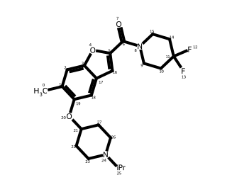 Cc1cc2oc(C(=O)N3CCC(F)(F)CC3)cc2cc1OC1CCN(C(C)C)CC1